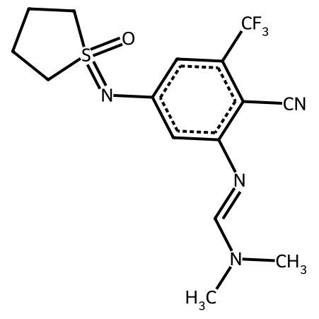 CN(C)/C=N/c1cc(N=S2(=O)CCCC2)cc(C(F)(F)F)c1C#N